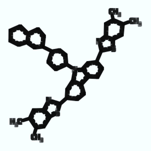 Cc1cc2nc(-c3ccc4c5ccc(-c6nc7cc(C)c(C)cc7s6)cc5n(-c5ccc(-c6ccc7ccccc7c6)cc5)c4c3)sc2cc1C